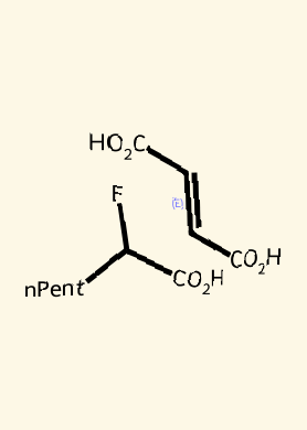 CCCCCC(F)C(=O)O.O=C(O)/C=C/C(=O)O